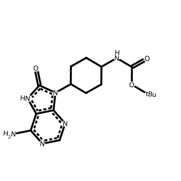 CC(C)(C)OC(=O)NC1CCC(n2c(=O)[nH]c3c(N)ncnc32)CC1